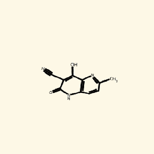 Cc1ccc2[nH]c(=O)c(C#N)c(O)c2n1